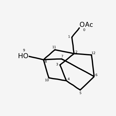 CC(=O)OCC12CC3CC(CC(O)(C3)C1)C2